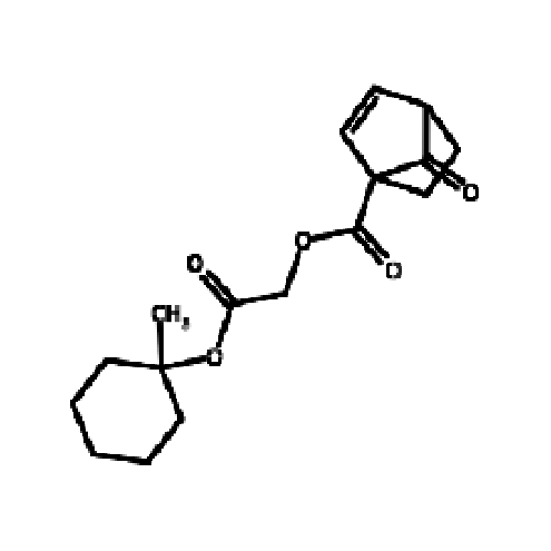 CC1(OC(=O)COC(=O)C23C=CC(CC2)C3=O)CCCCC1